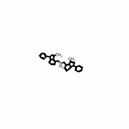 CC1=CC(c2ccccc2)c2cccc(C[SiH2]Cc3cccc4c3C(C)=CC4c3ccccc3)c21